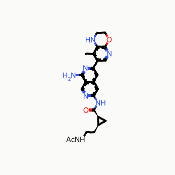 CC(=O)NCC[C@@H]1C[C@@H]1C(=O)Nc1cc2cc(-c3cnc4c(c3C)NCCO4)nc(N)c2cn1